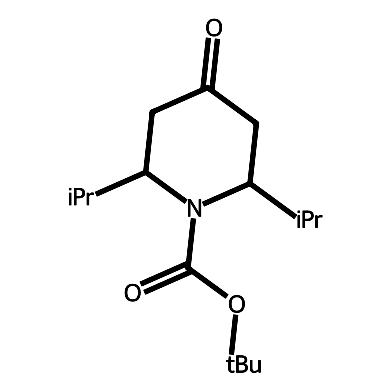 CC(C)C1CC(=O)CC(C(C)C)N1C(=O)OC(C)(C)C